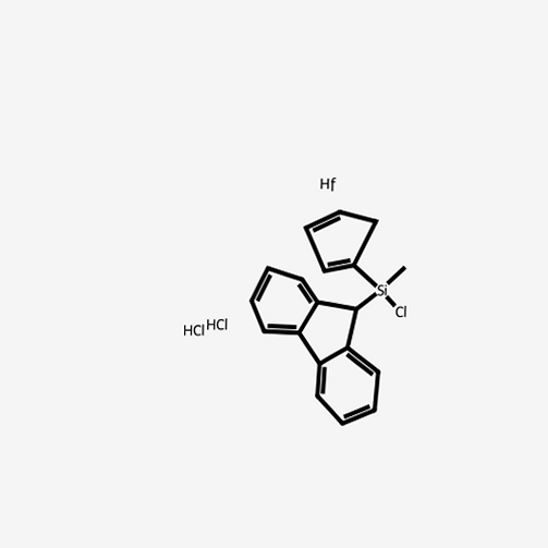 C[Si](Cl)(C1=CC=CC1)C1c2ccccc2-c2ccccc21.Cl.Cl.[Hf]